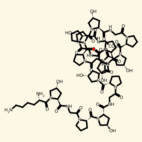 NCCCC[C@H](N)C(=O)N1C[C@H](O)C[C@H]1C(=O)NCC(=O)N1CCC[C@H]1C(=O)N1C[C@H](O)C[C@H]1C(=O)NCC(=O)N1CCC[C@H]1C(=O)N1C[C@H](O)C[C@H]1C(=O)NCC(=O)N1CCC[C@H]1C(=O)N1C[C@H](O)C[C@H]1C(=O)NCC(=O)N1CCC[C@H]1C(=O)N1C[C@H](O)C[C@H]1C(=O)NCC(=O)N1CCC[C@H]1C(=O)N1C[C@H](O)C[C@H]1C(=O)NCC(=O)N1CCC[C@H]1C(=O)N1C[C@H](O)C[C@H]1C(=O)NCC(=O)O